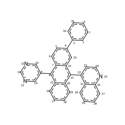 c1ccc(-c2ccc3c(-c4cncnc4)c4ccccc4c(-c4ccnc5ccccc45)c3c2)cc1